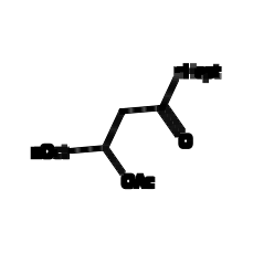 CCCCCCCCC(CC(=O)CCCCCCC)OC(C)=O